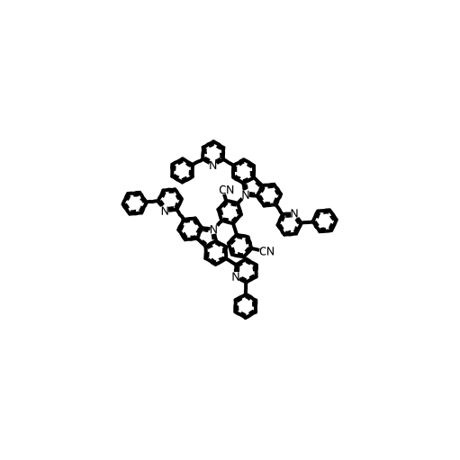 N#Cc1cccc(-c2cc(-n3c4cc(-c5cccc(-c6ccccc6)n5)ccc4c4ccc(-c5cccc(-c6ccccc6)n5)cc43)c(C#N)cc2-n2c3cc(-c4cccc(-c5ccccc5)n4)ccc3c3ccc(-c4cccc(-c5ccccc5)n4)cc32)c1